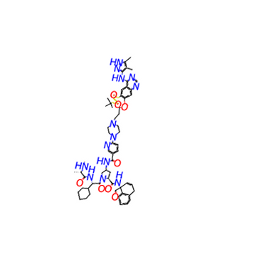 CN[C@@H](C)C(=O)N[C@H](C(=O)N1C[C@@H](NC(=O)c2ccc(N3CCN(CCCOc4cc5ncnc(Nc6n[nH]c(C)c6C)c5cc4S(=O)(=O)C(C)(C)C)CC3)nc2)C[C@H]1C(=O)N[C@]1(C=O)C=CCc2ccccc21)C1CCCCC1